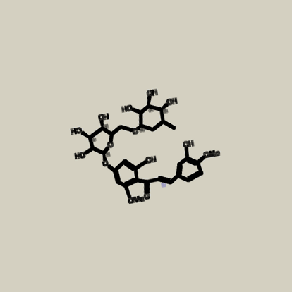 COc1ccc(/C=C/C(=O)c2c(O)cc(O[C@@H]3OC(CO[C@@H]4CC(C)[C@H](O)[C@H](O)C4O)[C@H](O)[C@H](O)C3O)cc2OC)cc1O